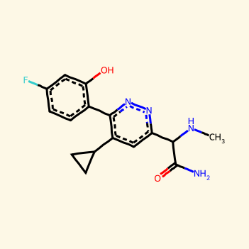 CNC(C(N)=O)c1cc(C2CC2)c(-c2ccc(F)cc2O)nn1